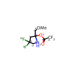 COCC1(OC(=O)C(F)(F)F)CC(F)(F)CN1